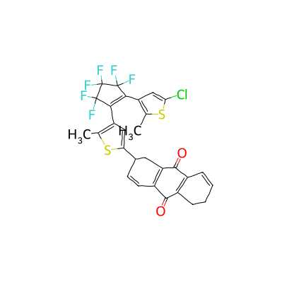 Cc1sc(Cl)cc1C1=C(c2cc(C3C=CC4=C(C3)C(=O)C3=C(CCC=C3)C4=O)sc2C)C(F)(F)C(F)(F)C1(F)F